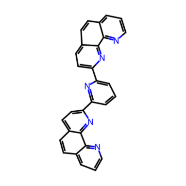 c1cc(-c2ccc3ccc4cccnc4c3n2)nc(-c2ccc3ccc4cccnc4c3n2)c1